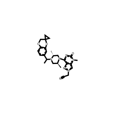 CC(c1ccc2c(c1)OC1(CC1)CO2)N1C[C@H](C)N(c2nc(=O)n(C)c3cn(CC#N)nc23)C[C@H]1C